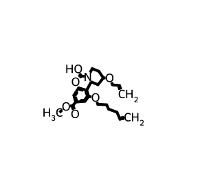 C=CCCCCOc1cc(C(=O)OC)ccc1C1CC(OCC=C)CCN1C(=O)O